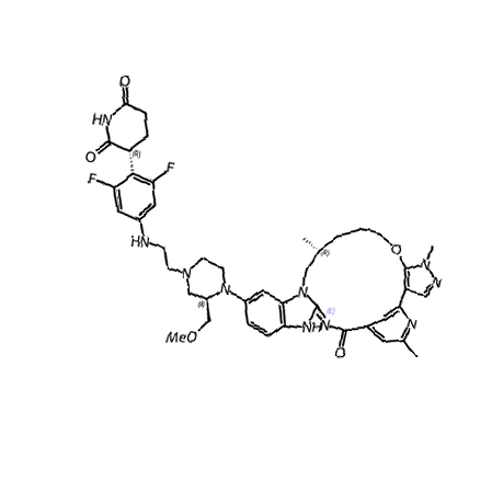 COC[C@H]1CN(CCNc2cc(F)c([C@H]3CCC(=O)NC3=O)c(F)c2)CCN1c1ccc2c(c1)N1C[C@H](C)CCCOc3c(cnn3C)-c3cc(cc(C)n3)C(=O)/N=C/1N2